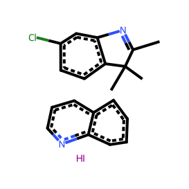 CC1=Nc2cc(Cl)ccc2C1(C)C.I.c1ccc2ncccc2c1